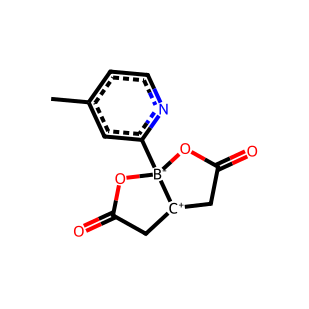 Cc1ccnc([B-]23OC(=O)C[C+]2CC(=O)O3)c1